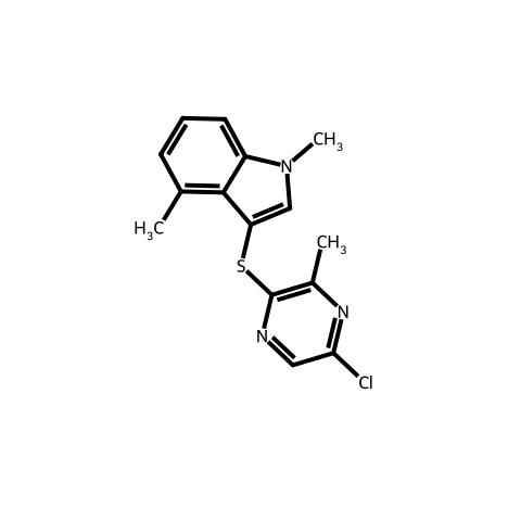 Cc1nc(Cl)cnc1Sc1cn(C)c2cccc(C)c12